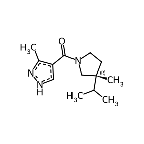 Cc1n[nH]cc1C(=O)N1CC[C@](C)(C(C)C)C1